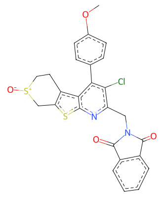 COc1ccc(-c2c(Cl)c(CN3C(=O)c4ccccc4C3=O)nc3sc4c(c23)CC[S+]([O-])C4)cc1